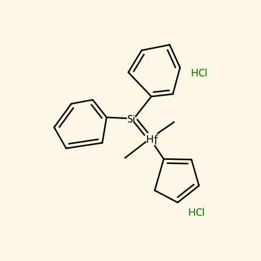 Cl.Cl.[CH3][Hf]([CH3])([C]1=CC=CC1)=[Si](c1ccccc1)c1ccccc1